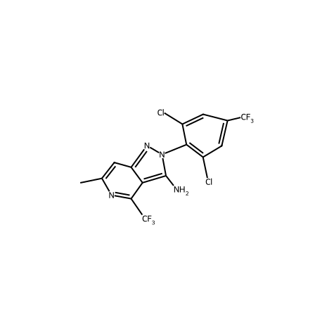 Cc1cc2nn(-c3c(Cl)cc(C(F)(F)F)cc3Cl)c(N)c2c(C(F)(F)F)n1